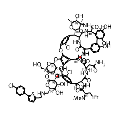 CN[C@H](CC(C)C)C(=O)NC1C(=O)N[C@@H](CC(N)=O)C(=O)N[C@H]2C(=O)N[C@H]3C(=O)NC(C(=O)N[C@@H](C(=O)O)c4cc(O)cc(O)c4-c4cc3ccc4O)C([C@H]3C[C@](C)(N)[C@@H](O)[C@H](C)O3)c3ccc(c(Cl)c3)Oc3cc2cc(c3O[C@@H]2O[C@H](CO)[C@@H](O[C@@H]3O[C@H](CNCc4ccc(-c5ccc(Cl)cc5)s4)[C@H](O)[C@H](O)[C@H]3O)[C@H](O)[C@H]2O)Oc2ccc(cc2Cl)[C@H]1O